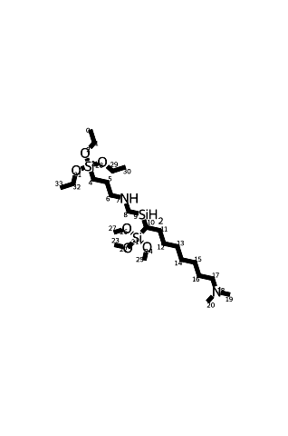 CCO[Si](CCCNC[SiH2]C(CCCCCCCN(C)C)[Si](OC)(OC)OC)(OCC)OCC